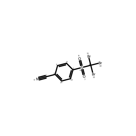 N#Cc1ccc(S(=O)(=O)C(Br)(Br)Br)cc1